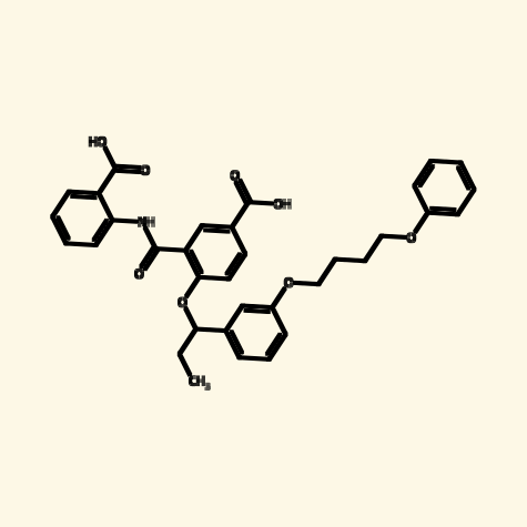 CCC(Oc1ccc(C(=O)O)cc1C(=O)Nc1ccccc1C(=O)O)c1cccc(OCCCCOc2ccccc2)c1